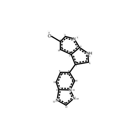 Clc1cnc2[nH]cc(-c3ccc4ncnn4c3)c2c1